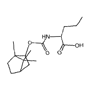 CCCC(NC(=O)OC1CC2CCC1(C)C2(C)C)C(=O)O